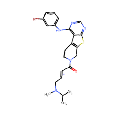 CC(C)N(C)C/C=C/C(=O)N1CCc2c(sc3ncnc(Nc4cccc(Br)c4)c23)C1